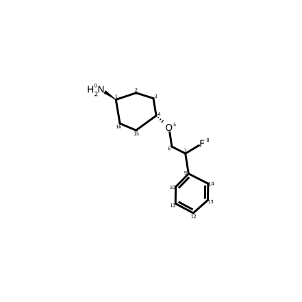 N[C@H]1CC[C@H](OCC(F)c2ccccc2)CC1